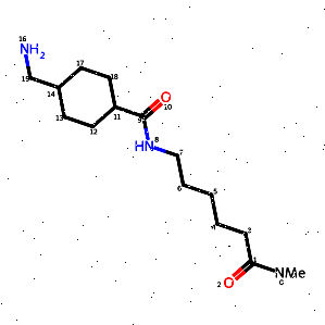 CNC(=O)CCCCCNC(=O)C1CCC(CN)CC1